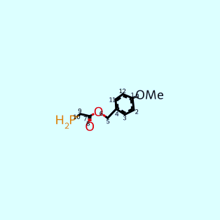 COc1ccc(COC(=O)CP)cc1